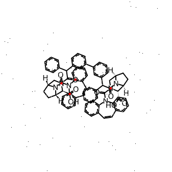 O=C(O)[C@H]1[C@@H]2CC[C@H](CN1C(=O)N1c3ccccc3C=Cc3ccccc31)N2C(=O)C(c1ccccc1)c1cccc(-c2cccc(C(C(=O)N3C[C@H]4CC[C@@H]([C@@H]3C(=O)O)N4C(=O)N3c4ccccc4C=Cc4ccccc43)c3ccccc3)c2)c1